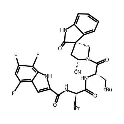 CC(C)[C@@H](NC(=O)c1cc2c(F)cc(F)c(F)c2[nH]1)C(=O)N[C@@H](CC(C)(C)C)C(=O)N1C[C@]2(C[C@H]1C#N)C(=O)Nc1ccccc12